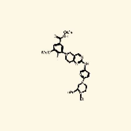 CCCC1CN(c2ccc(Nc3ncc4c(n3)CCN(c3cc(C(=O)NOC)cc(OC)c3Cl)C4)cn2)CCN1CC